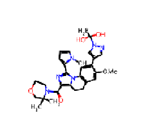 BC(O)(O)n1cc(-c2cc3c(cc2OC)CCc2c(C(=O)N4CCOCC4(C)C)nc(-c4cccn4C)n2-3)cn1